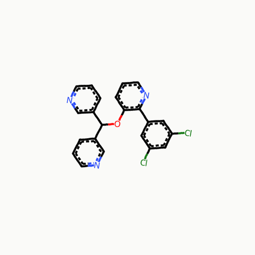 Clc1cc(Cl)cc(-c2ncccc2OC(c2cccnc2)c2cccnc2)c1